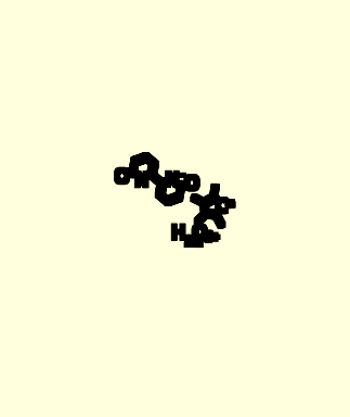 Cc1c(C)c(C)[c-](C)c1C.O.O=c1cccc(-c2cccc(=O)[n-]2)[n-]1.[Ir+3]